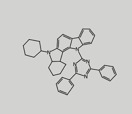 c1ccc(-c2nc(-c3ccccc3)nc(-n3c4ccccc4c4ccc5c(c43)C3CCCCC3N5C3CCCCC3)n2)cc1